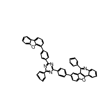 c1ccc(-c2nc(-c3ccc(-c4ccc5oc6c7ccccc7nc(-c7ccccc7)c6c5c4)cc3)nc(-c3ccc(-c4cccc5c4oc4ccccc45)cc3)n2)cc1